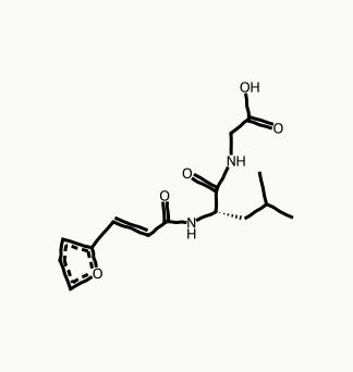 CC(C)C[C@H](NC(=O)C=Cc1ccco1)C(=O)NCC(=O)O